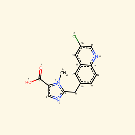 Cn1c(C(=O)O)cnc1Cc1ccc2ncc(Cl)cc2c1